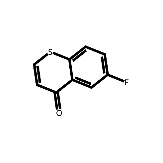 O=c1ccsc2ccc(F)cc12